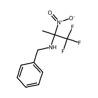 CC(NCc1ccccc1)([N+](=O)[O-])C(F)(F)F